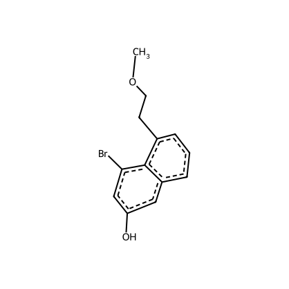 COCCc1cccc2cc(O)cc(Br)c12